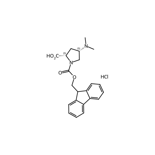 CN(C)[C@H]1C[C@@H](C(=O)O)N(C(=O)OCC2c3ccccc3-c3ccccc32)C1.Cl